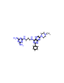 CN1CCN(c2cnc3c(NCCCNc4nc(N)nc(N)n4)nc(-c4ccccc4)nc3n2)CC1